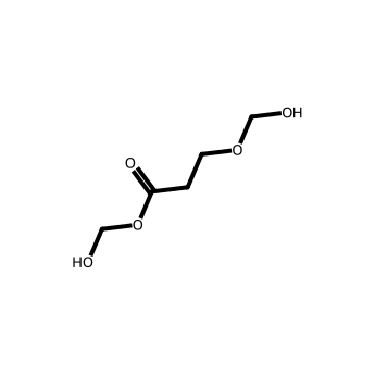 O=C(CCOCO)OCO